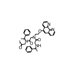 C[C@H](NCC(=O)N(CCOc1cc2cccnc2c2ncccc12)CC(=O)N(CC(=O)I)[C@@H](C)c1ccccc1)c1ccccc1